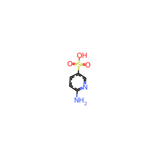 Nc1ccc(S(=O)(=O)O)cn1